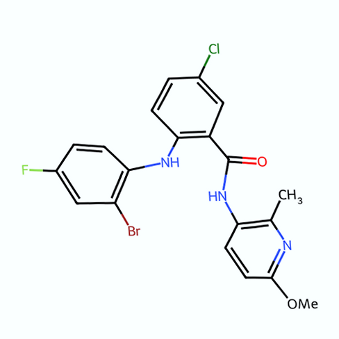 COc1ccc(NC(=O)c2cc(Cl)ccc2Nc2ccc(F)cc2Br)c(C)n1